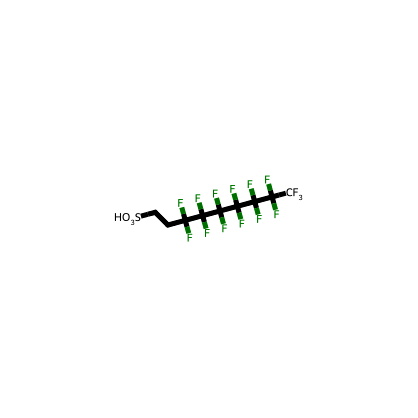 O=S(=O)(O)CCC(F)(F)C(F)(F)C(F)(F)C(F)(F)C(F)(F)C(F)(F)C(F)(F)F